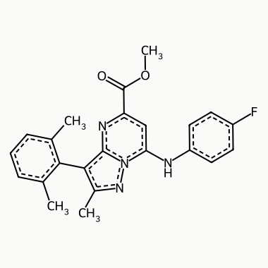 COC(=O)c1cc(Nc2ccc(F)cc2)n2nc(C)c(-c3c(C)cccc3C)c2n1